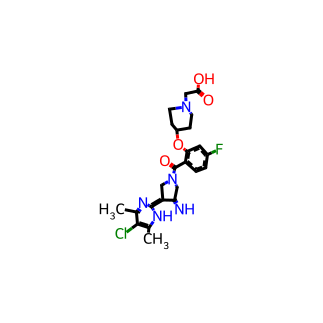 CC1=N/C(=C2\CN(C(=O)c3ccc(F)cc3OC3CCN(CC(=O)O)CC3)CC2=N)NC(C)=C1Cl